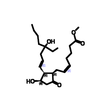 CCCCC(O)(CC)C/C=C/[C@H]1[C@H](O)CC(=O)[C@@H]1C/C=C\CCCC(=O)OC